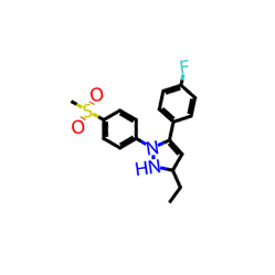 CCC1C=C(c2ccc(F)cc2)N(c2ccc(S(C)(=O)=O)cc2)N1